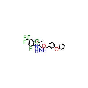 CC(C)C(Nc1c(F)cc(C(F)(F)F)cc1Cl)C(=N)OCc1cccc(Oc2ccccc2)c1